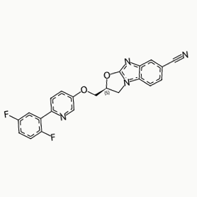 N#Cc1ccc2c(c1)nc1n2C[C@@H](COc2ccc(-c3cc(F)ccc3F)nc2)O1